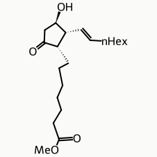 CCCCCCC=C[C@H]1[C@H](O)CC(=O)[C@H]1CCCCCCC(=O)OC